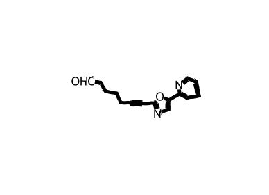 O=CCCCCC#Cc1ncc(-c2ccccn2)o1